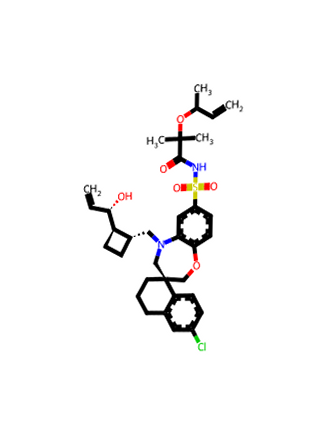 C=CC(C)OC(C)(C)C(=O)NS(=O)(=O)c1ccc2c(c1)N(C[C@@H]1CC[C@H]1[C@@H](O)C=C)C[C@@]1(CCCc3cc(Cl)ccc31)CO2